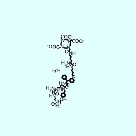 CCC(=O)NCCNC(=O)/N=C(/N)NCCC[C@@H](NC(=O)C(c1ccccc1)c1cccc(OCCCCNC(=O)[C@H](N)CCCCNC(=O)CN2CCN(CC(=O)[O-])CCN(CC(=O)[O-])CCN(CC(=O)[O-])CC2)c1)C(=O)NCc1ccc(O)cc1.[In+3]